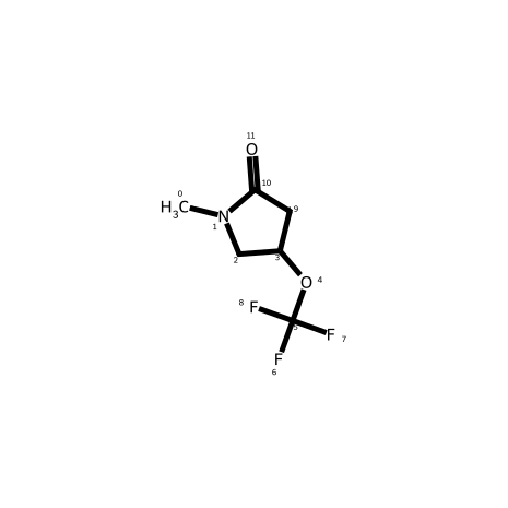 CN1CC(OC(F)(F)F)[CH]C1=O